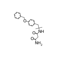 CC(C)(Cc1ccc(OCc2ccccc2)cc1)NC(=O)CC(N)=O